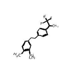 Cc1ccc(CCc2ccc(C(C)C(F)(F)F)cc2)cc1C